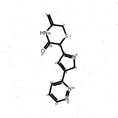 C=C1CSC(C2=NCC(c3cccnn3)=C2)C(=O)N1